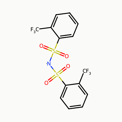 O=S(=O)([N]S(=O)(=O)c1ccccc1C(F)(F)F)c1ccccc1C(F)(F)F